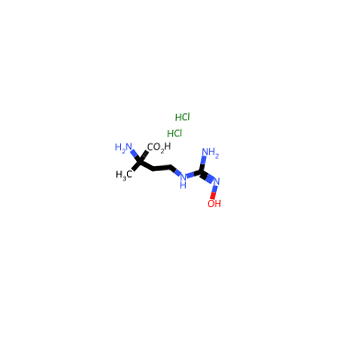 CC(N)(CCN/C(N)=N\O)C(=O)O.Cl.Cl